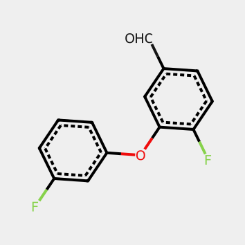 O=Cc1ccc(F)c(Oc2cccc(F)c2)c1